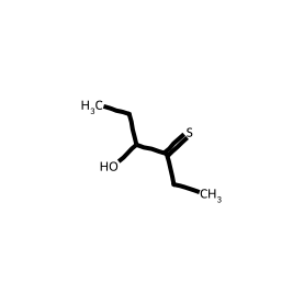 CCC(=S)C(O)CC